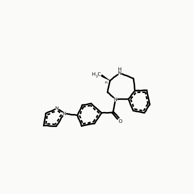 C[C@@H]1CN(C(=O)c2ccc(-n3cccn3)cc2)c2ccccc2CN1